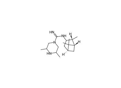 CC1CN(C(=N)NC2C[C@@H]3C[C@@H]([C@H]2C)C3(C)C)CC(C)N1